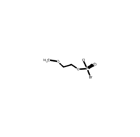 COCCOP(=O)(Cl)Br